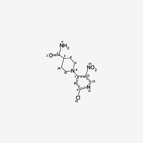 NC(=O)C1CCN(c2cc(Cl)ncc2[N+](=O)[O-])CC1